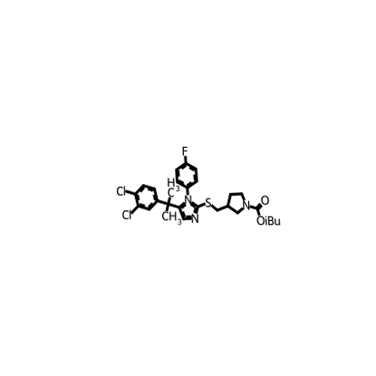 CC(C)COC(=O)N1CCC(CSc2ncc(C(C)(C)c3ccc(Cl)c(Cl)c3)n2-c2ccc(F)cc2)C1